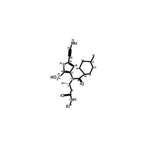 CCNC(=O)C[C@H](C)N(C(=O)C1CCC(C)CC1)c1cc(C#CC(C)(C)C)sc1C(=O)O